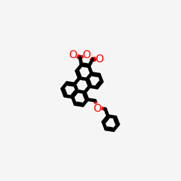 O=c1oc(=O)c2c1cc1c3cccc4ccc(COCc5ccccc5)c(c5cccc2c15)c43